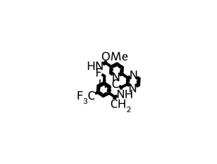 C=C(NC(C)c1nccnc1-c1ccc(C(=N)OC)cn1)c1cc(CF)cc(C(F)(F)F)c1